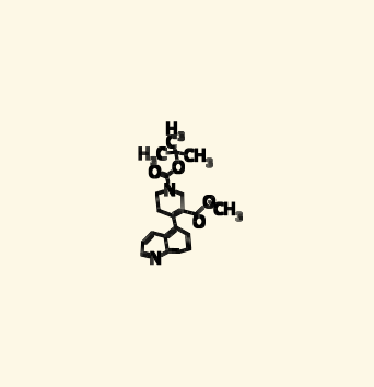 COC(=O)C1=C(c2cccc3ncccc23)CCN(C(=O)OC(C)(C)C)C1